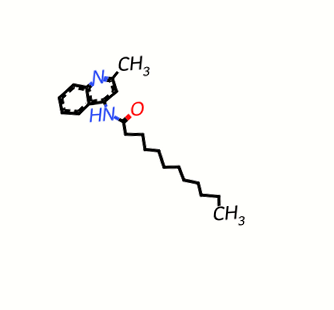 CCCCCCCCCCCC(=O)Nc1cc(C)nc2ccccc12